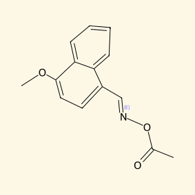 COc1ccc(/C=N/OC(C)=O)c2ccccc12